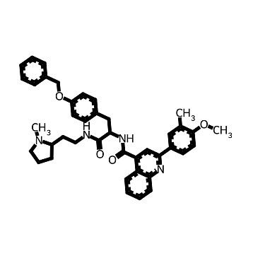 COc1ccc(-c2cc(C(=O)NC(Cc3ccc(OCc4ccccc4)cc3)C(=O)NCCC3CCCN3C)c3ccccc3n2)cc1C